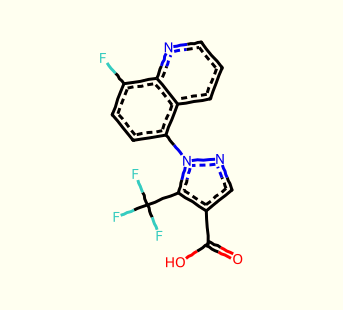 O=C(O)c1cnn(-c2ccc(F)c3ncccc23)c1C(F)(F)F